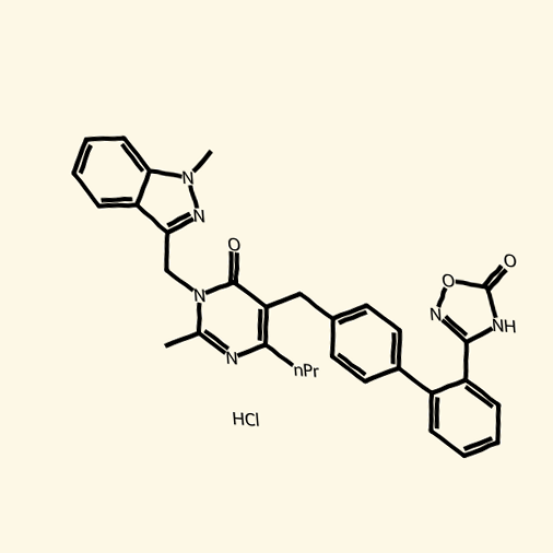 CCCc1nc(C)n(Cc2nn(C)c3ccccc23)c(=O)c1Cc1ccc(-c2ccccc2-c2noc(=O)[nH]2)cc1.Cl